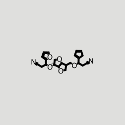 N#CCC(OCC1COC2C1OC[C@@H]2OC(CC#N)c1ccco1)C1=CC=CC1